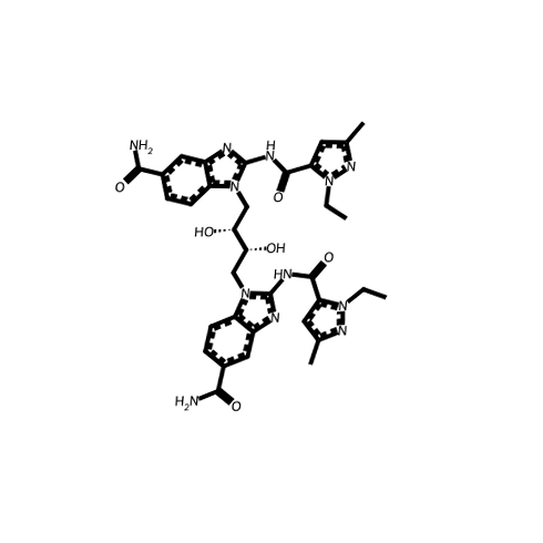 CCn1nc(C)cc1C(=O)Nc1nc2cc(C(N)=O)ccc2n1C[C@@H](O)[C@H](O)Cn1c(NC(=O)c2cc(C)nn2CC)nc2cc(C(N)=O)ccc21